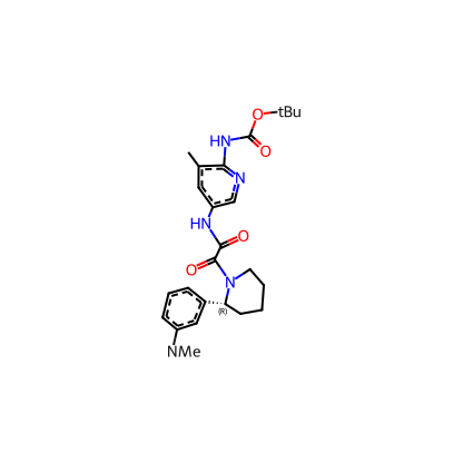 CNc1cccc([C@H]2CCCCN2C(=O)C(=O)Nc2cnc(NC(=O)OC(C)(C)C)c(C)c2)c1